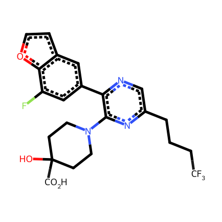 O=C(O)C1(O)CCN(c2nc(CCCC(F)(F)F)cnc2-c2cc(F)c3occc3c2)CC1